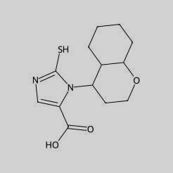 O=C(O)c1cnc(S)n1C1CCOC2CCCCC21